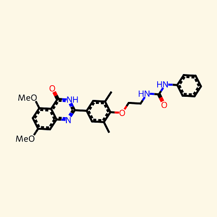 COc1cc(OC)c2c(=O)[nH]c(-c3cc(C)c(OCCNC(=O)Nc4ccccc4)c(C)c3)nc2c1